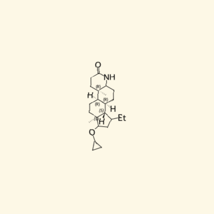 CCC1CC(OC2CC2)[C@@]2(C)CC[C@@H]3[C@@H](CCC4NC(=O)CC[C@@]43C)[C@H]12